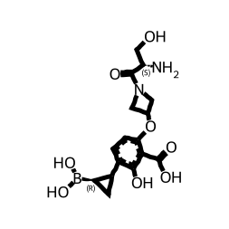 N[C@@H](CO)C(=O)N1CC(Oc2ccc(C3C[C@H]3B(O)O)c(O)c2C(=O)O)C1